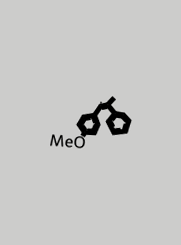 COc1ccc([C]=C(C)c2ccccc2)cc1